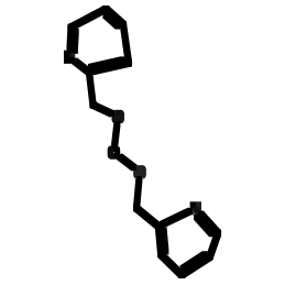 c1ccc(COOOCc2ccccn2)nc1